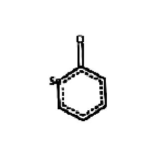 O=c1cccc[se]1